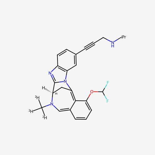 [2H]C([2H])([2H])N1C=c2cccc(OC(F)F)c2=C2C[C@@H]1c1nc3ccc(C#CCNC(C)C)cc3n12